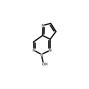 On1ncc2nccc-2n1